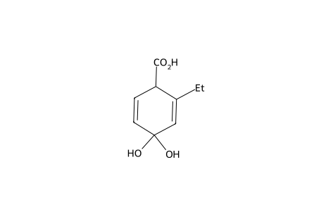 CCC1=CC(O)(O)C=CC1C(=O)O